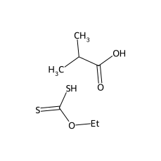 CC(C)C(=O)O.CCOC(=S)S